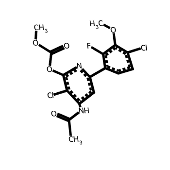 COC(=O)Oc1nc(-c2ccc(Cl)c(OC)c2F)cc(NC(C)=O)c1Cl